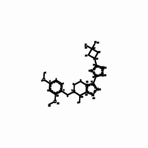 COc1ccc(CN2CCn3c(-c4nc(N5CC(F)(F)C5)ns4)nnc3C2C)c(OC)c1